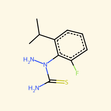 CC(C)c1cccc(F)c1N(N)C(N)=S